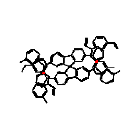 C=Cc1cccc(N(c2cccc(C)c2)c2ccc3c(c2)C2(c4cc(N(c5cccc(C)c5)c5cccc(C=C)c5)ccc4-3)c3cc(N(c4cccc(C)c4)c4cccc(C=C)c4)ccc3-c3ccc(N(c4cccc(C)c4)c4cccc(CC)c4)cc32)c1